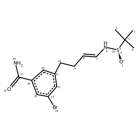 CC(C)(C)[S@@+]([O-])NC=CCCc1cc(Br)cc(C(N)=O)c1